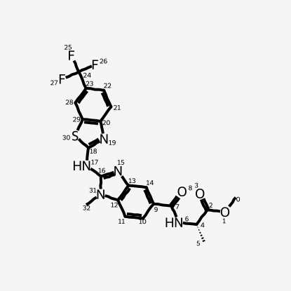 COC(=O)[C@H](C)NC(=O)c1ccc2c(c1)nc(Nc1nc3ccc(C(F)(F)F)cc3s1)n2C